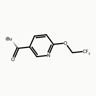 CC[C@@H](C)C(=O)c1ccc(OCC(F)(F)F)nc1